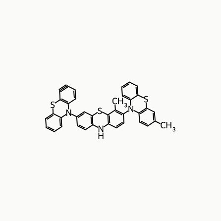 Cc1ccc2c(c1)Sc1ccccc1N2c1ccc2c(c1C)Sc1cc(N3c4ccc#cc4Sc4ccccc43)ccc1N2